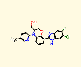 Cc1ccc(N2c3cccc(-c4nc5cc(F)c(Cl)cc5[nH]4)c3OCC2CO)nc1